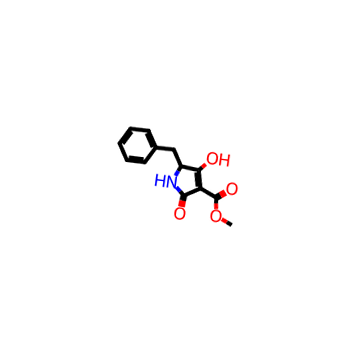 COC(=O)C1=C(O)C(Cc2ccccc2)NC1=O